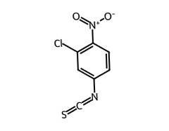 O=[N+]([O-])c1ccc(N=C=S)cc1Cl